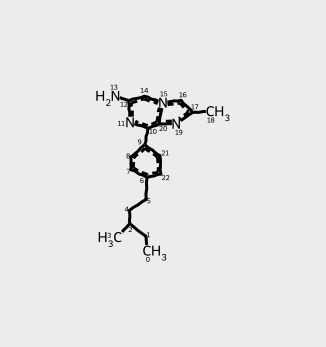 CCC(C)CCc1ccc(-c2nc(N)cn3cc(C)nc23)cc1